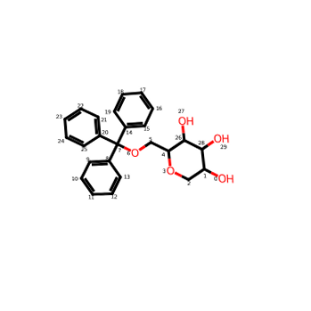 OC1COC(COC(c2ccccc2)(c2ccccc2)c2ccccc2)C(O)C1O